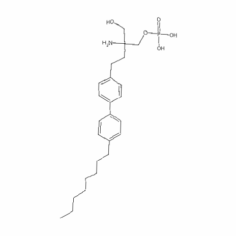 CCCCCCCCc1ccc(-c2ccc(CCC(N)(CO)COP(=O)(O)O)cc2)cc1